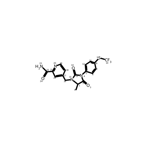 CC1C(=O)N(c2ccc(SC(F)(F)F)cc2)C(=O)N1Cc1ccnc(C(N)=O)c1